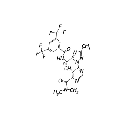 Cc1nc([C@H](C)NC(=O)c2cc(C(F)(F)F)cc(C(F)(F)F)c2)n(-c2cc(C(=O)N(C)C)ncn2)n1